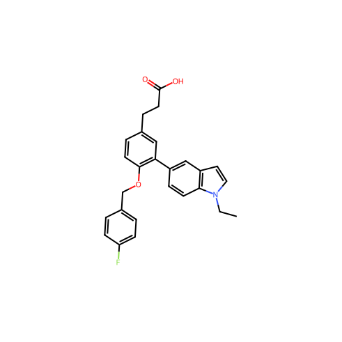 CCn1ccc2cc(-c3cc(CCC(=O)O)ccc3OCc3ccc(F)cc3)ccc21